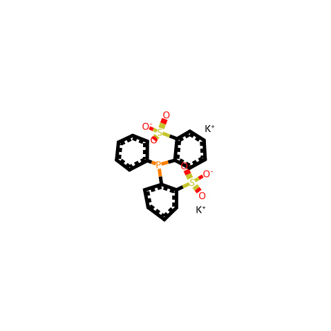 O=S(=O)([O-])c1ccccc1P(c1ccccc1)c1ccccc1S(=O)(=O)[O-].[K+].[K+]